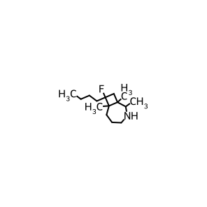 CCCCC1(F)CC2(C)C(C)NCCCC12C